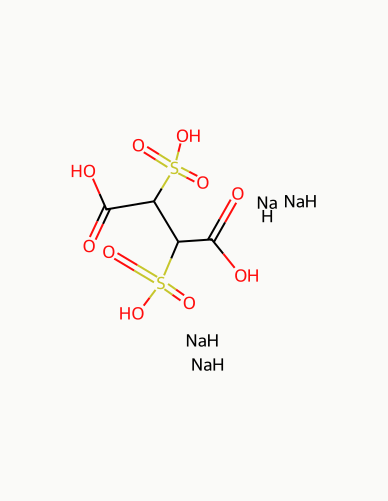 O=C(O)C(C(C(=O)O)S(=O)(=O)O)S(=O)(=O)O.[NaH].[NaH].[NaH].[NaH]